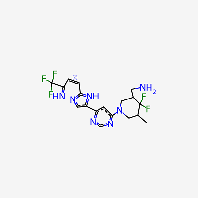 CC1CN(c2cc(-c3cnc(/C=C\C(=N)C(F)(F)F)[nH]3)ncn2)CC(CN)C1(F)F